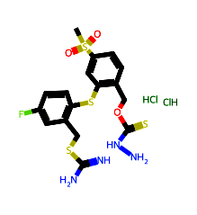 CS(=O)(=O)c1ccc(COC(=S)NN)c(Sc2ccc(F)cc2CSC(=N)N)c1.Cl.Cl